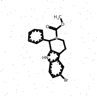 COC(=O)N1CCc2c([nH]c3ccc(Br)cc23)C1c1ccccc1